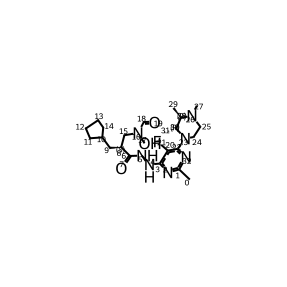 Cc1nc(NNC(=O)[C@@H](CC2CCCC2)CN(O)C=O)c(F)c(N2CCN(C)[C@H](C)[C@H]2C)n1